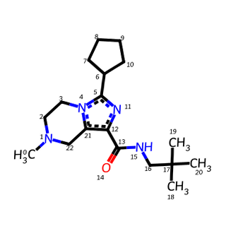 CN1CCn2c(C3CCCC3)nc(C(=O)NCC(C)(C)C)c2C1